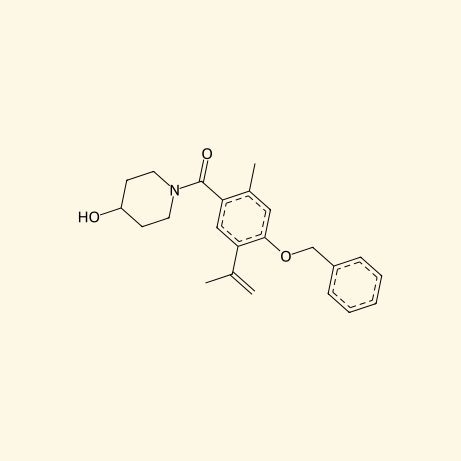 C=C(C)c1cc(C(=O)N2CCC(O)CC2)c(C)cc1OCc1ccccc1